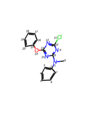 CN(c1ccccc1)c1nc(Cl)nc(Oc2ccccc2)n1